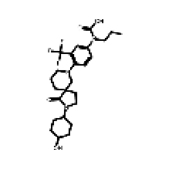 CCCN(C(=O)O)c1ccc(N2CCC[C@]3(CCN(C4CCC(O)CC4)C3=O)C2)c(C(F)(F)F)c1